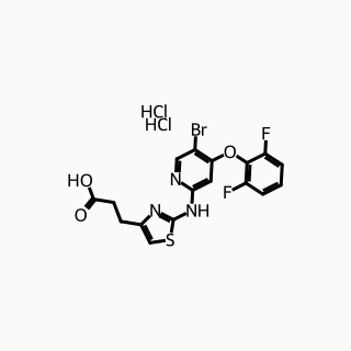 Cl.Cl.O=C(O)CCc1csc(Nc2cc(Oc3c(F)cccc3F)c(Br)cn2)n1